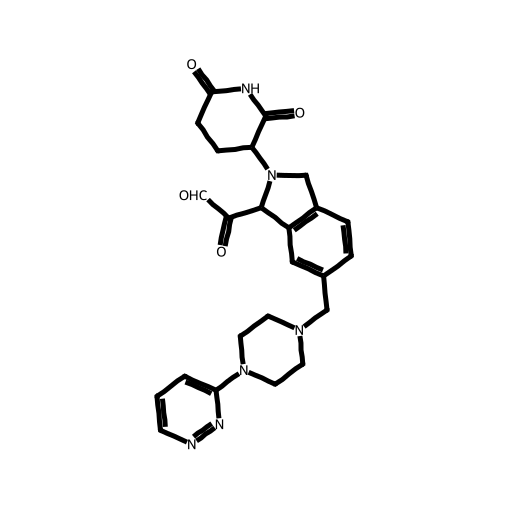 O=CC(=O)C1c2cc(CN3CCN(c4cccnn4)CC3)ccc2CN1C1CCC(=O)NC1=O